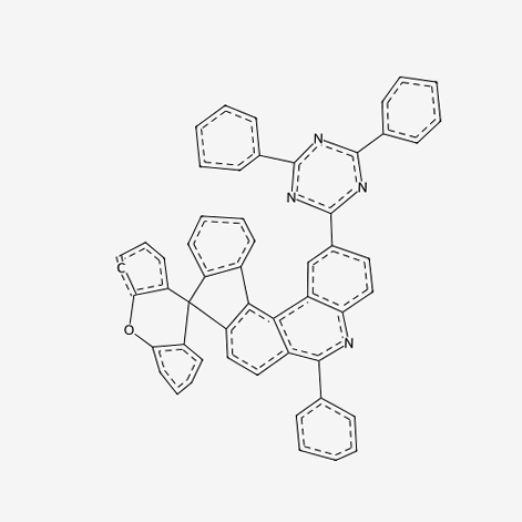 c1ccc(-c2nc(-c3ccccc3)nc(-c3ccc4nc(-c5ccccc5)c5ccc6c(c5c4c3)-c3ccccc3C63c4ccccc4Oc4ccccc43)n2)cc1